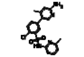 Cc1cccc(NS(=O)(=O)c2cc(-c3cnc(N)cc3C)ccc2Cl)n1